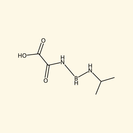 CC(C)NBNC(=O)C(=O)O